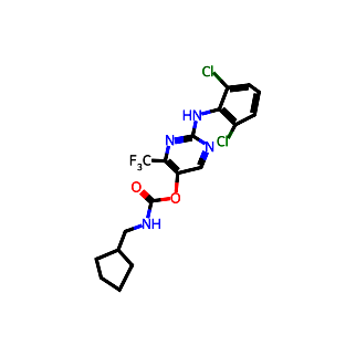 O=C(NCC1CCCC1)Oc1cnc(Nc2c(Cl)cccc2Cl)nc1C(F)(F)F